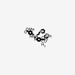 COC(=O)c1ccc(CNc2nc3ccc(C(C)(C)C(=O)N(CC(C)C)CC(C)C)cc3n2CCCN2CCCCC2)cc1